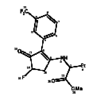 CCC(NC1=C(c2cccc(C(F)(F)F)c2)C(=O)C(F)C1)C(=O)OC